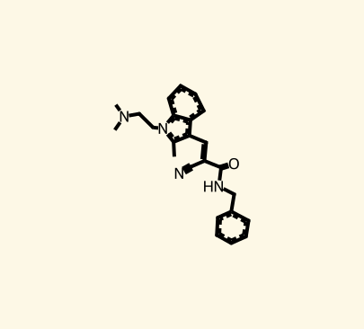 Cc1c(/C=C(\C#N)C(=O)NCc2ccccc2)c2ccccc2n1CCN(C)C